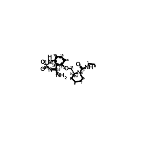 CCNC(=O)N1CCCC[C@H]1COc1cccc2c1C(N)=NS(=O)(=O)N2